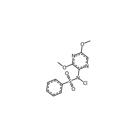 COc1cnc(N(Cl)S(=O)(=O)c2ccccc2)c(OC)n1